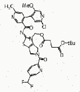 COc1cnc(Cl)cc1-c1cc(C)ncc1C(=O)N=c1sc2c(n1COC(=O)CCC(=O)OC(C)(C)C)CN(C(=O)c1ccc(C(F)F)cn1)C2